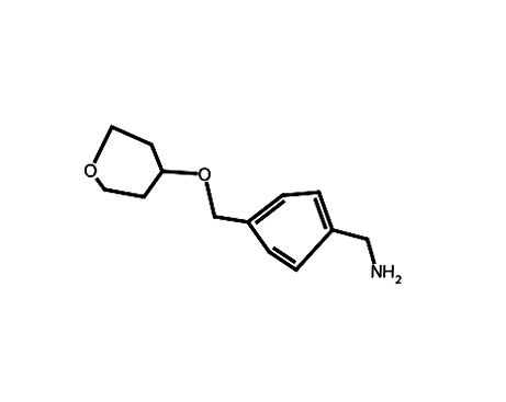 NCc1ccc(COC2CCOCC2)cc1